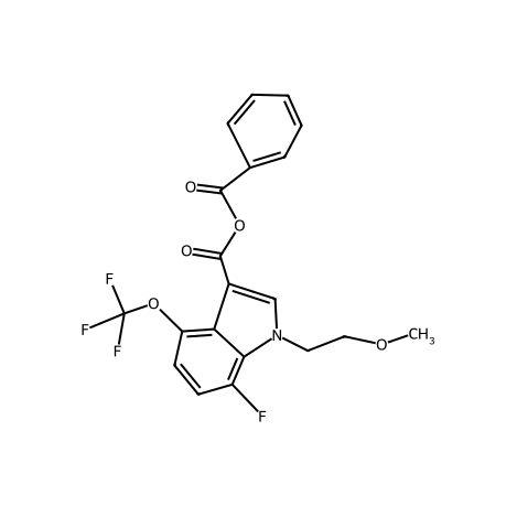 COCCn1cc(C(=O)OC(=O)c2ccccc2)c2c(OC(F)(F)F)ccc(F)c21